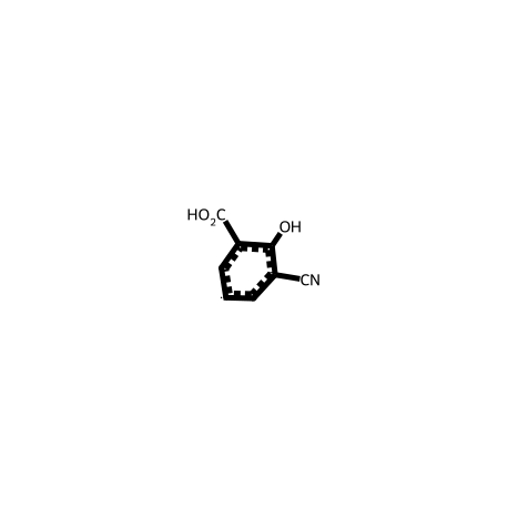 N#Cc1c[c]cc(C(=O)O)c1O